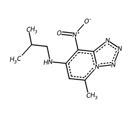 Cc1cc(NCC(C)C)c([N+](=O)[O-])c2nnnn12